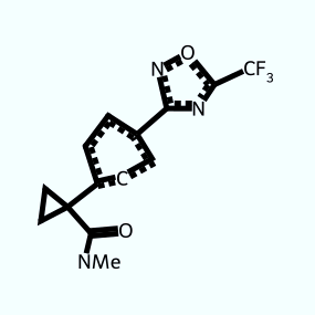 CNC(=O)C1(c2ccc(-c3noc(C(F)(F)F)n3)cc2)CC1